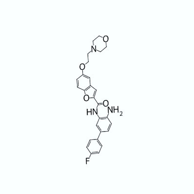 Nc1ccc(-c2ccc(F)cc2)cc1NC(=O)c1cc2cc(OCCN3CCOCC3)ccc2o1